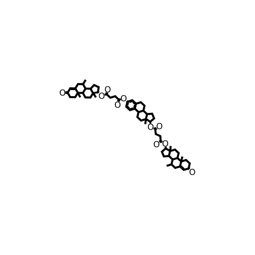 CC1CC2=CC(=O)CCC2(C)C2CCC3(C)C(OC(=O)CCC(=O)Oc4ccc5c(c4)CCC4C5CCC5(C)C(OC(=O)CCC(=O)OC6CCC7C8C(C)CC9=CC(=O)CCC9(C)C8CCC67C)CCC45)CCC3C12